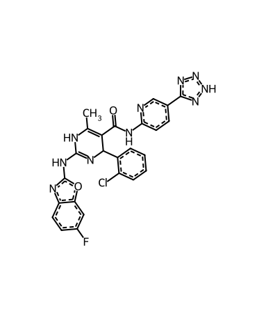 CC1=C(C(=O)Nc2ccc(-c3nn[nH]n3)cn2)C(c2ccccc2Cl)N=C(Nc2nc3ccc(F)cc3o2)N1